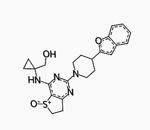 [O-][S+]1CCc2nc(N3CCC(c4cc5ccccc5o4)CC3)nc(NC3(CO)CC3)c21